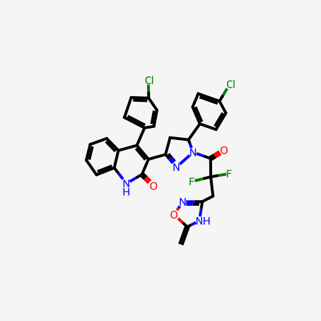 C=C1NC(CC(F)(F)C(=O)N2N=C(c3c(-c4ccc(Cl)cc4)c4ccccc4[nH]c3=O)CC2c2ccc(Cl)cc2)=NO1